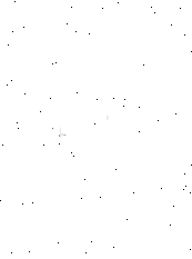 N[C@@H]1Cc2ccccc2[C@@](O)(Cc2ccccc2)C1